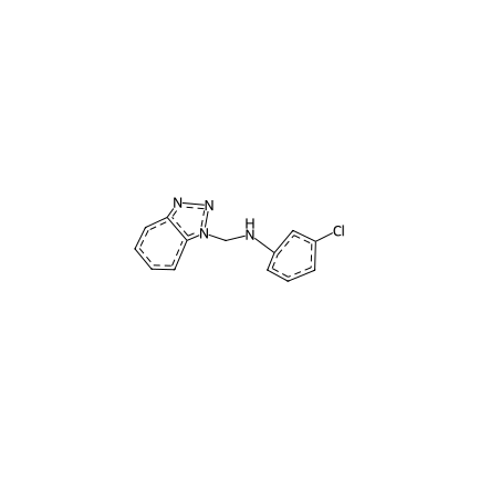 Clc1cccc(NCn2nnc3ccccc32)c1